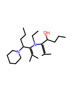 CCCC(O)C(=C(C)C)N(CC)C(=C(C)C)C(CCC)N1CCCCC1